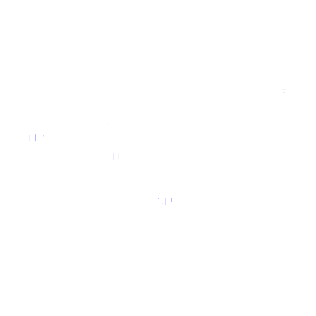 Nc1ncnc(N2CCC(N)CC2Cc2ccc(-c3ccc(F)cc3)cc2)c1-c1ccc(F)cc1